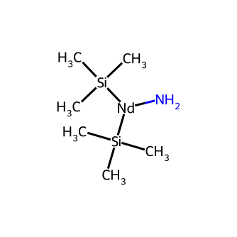 C[Si](C)(C)[Nd]([NH2])[Si](C)(C)C